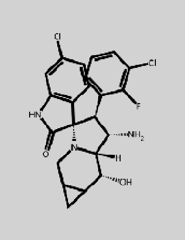 N[C@@H]1[C@@H]2[C@H](O)C3CC3CN2[C@@]2(C(=O)Nc3cc(Cl)ccc32)[C@H]1c1cccc(Cl)c1F